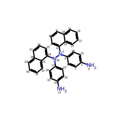 Nc1ccc(N(c2cccc3ccccc23)N(c2ccc(N)cc2)c2cccc3ccccc23)cc1